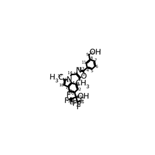 Cc1oc(-c2cccc(CO)c2)nc1Cn1c(C)cc2cc(C(O)(C(F)(F)F)C(F)(F)F)ccc21